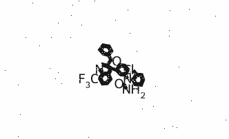 NC(=O)N(c1cccc(-c2c(C(=O)c3ccccc3)cnc3c(C(F)(F)F)cccc23)c1)c1ccccc1Cl